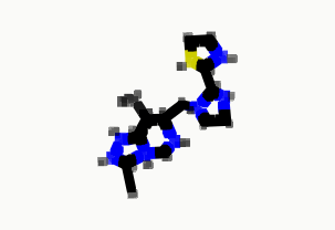 CCCc1c(Cn2ccnc2-c2nccs2)ncn2c(C)nnc12